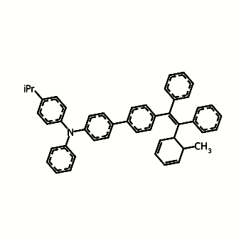 CC(C)c1ccc(N(c2ccccc2)c2ccc(-c3ccc(/C(=C(/c4ccccc4)C4C=CC=CC4C)c4ccccc4)cc3)cc2)cc1